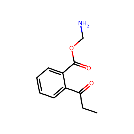 CCC(=O)c1ccccc1C(=O)OCN